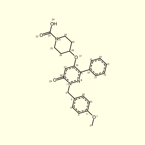 COc1ccc(Cn2nc(-c3ccccc3)c(OC3CCN(C(=O)O)CC3)cc2=O)cc1